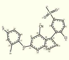 CS(=O)(=O)c1ccc(Cl)c(-c2n[nH]c3nc(Oc4ccc(F)cc4F)nc(C#N)c23)c1